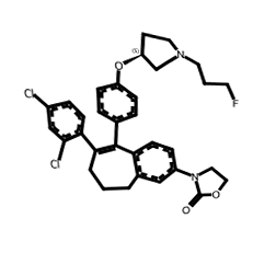 O=C1OCCN1c1ccc2c(c1)CCCC(c1ccc(Cl)cc1Cl)=C2c1ccc(O[C@H]2CCN(CCCF)C2)cc1